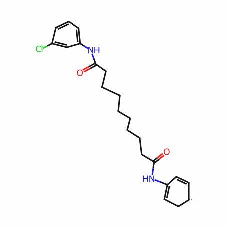 O=C(CCCCCCCCC(=O)Nc1cccc(Cl)c1)NC1=CC[CH]C=C1